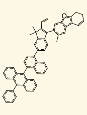 C=CC1=C(c2cc3oc4c(c3cc2C)C=CCC4)c2ccc(-c3ccc(-c4c5ccccc5c(-c5ccccc5)c5ccccc45)c4ccccc34)cc2C1(C)C